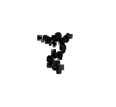 CC(=O)N1CCc2c(c(N3CCCc4cc(-c5cnn(C)c5)c(C(F)F)cc43)nn2C2CCN(Cc3ccc(CNc4cccc5c4CN(C4CCC(=O)NC4=O)C5=O)nc3)CC2)C1